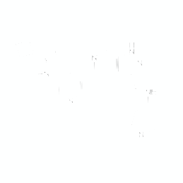 O=C(Nc1cncc(-c2cc3c(-c4cc5cnccc5[nH]4)n[nH]c3cn2)c1)C1CCC1